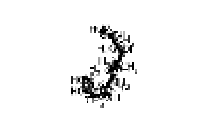 BC(CO)COP(=O)(O)OC(C)(CC)CCOP(=O)(O)OC(C)(CC)CC(B)COP(=O)(O)OC(C)(CC)CCOP(=O)(O)OC(C)(CC)CC(B)COP(=O)(O)O